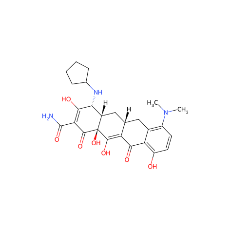 CN(C)c1ccc(O)c2c1C[C@H]1C[C@H]3[C@@H](NC4CCCC4)C(O)=C(C(N)=O)C(=O)[C@@]3(O)C(O)=C1C2=O